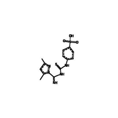 Cc1cc(C)n(C(=N)NC(=S)Nc2ccc(S(=O)(=O)O)cc2)n1